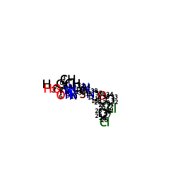 CC(C)(C)C(C(=O)O)n1nnc(-c2cnc(N3CCC4(C=C(c5ccc(Cl)cc5Cl)c5ccccc5O4)CC3)s2)n1